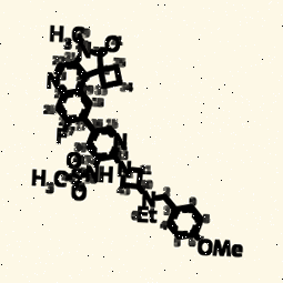 CCN(Cc1ccc(OC)cc1)C1CN(c2ncc(-c3cc4c5c(cnc4cc3F)N(C)C(=O)C53CCC3)cc2NS(C)(=O)=O)C1